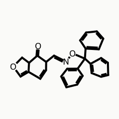 O=C1C(C=NOC(c2ccccc2)(c2ccccc2)c2ccccc2)C=CC2=COCC12